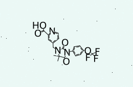 CC1(C)C(=O)N(c2ccc(OC(F)(F)F)cc2)C(=O)N1Cc1ccnc(C(=O)O)c1